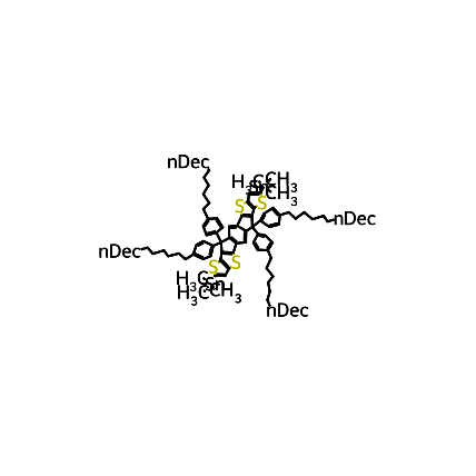 CCCCCCCCCCCCCCCCc1ccc(C2(c3ccc(CCCCCCCCCCCCCCCC)cc3)c3cc4c(cc3-c3sc5c[c]([Sn]([CH3])([CH3])[CH3])sc5c32)C(c2ccc(CCCCCCCCCCCCCCCC)cc2)(c2ccc(CCCCCCCCCCCCCCCC)cc2)c2c-4sc3c[c]([Sn]([CH3])([CH3])[CH3])sc23)cc1